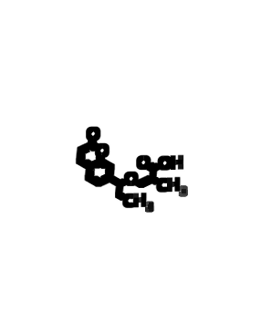 CCC(OC=C(C)C(=O)O)c1ccc2ccc(=O)oc2c1